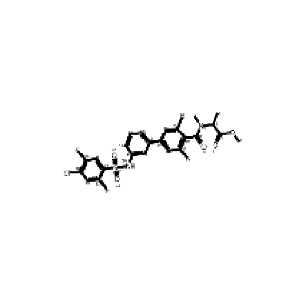 COC(=O)C(C)N(C)C(=O)c1c(C)cc(-c2cccc(NS(=O)(=O)c3cc(C)c(Cl)cc3C)c2)cc1C